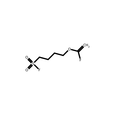 C=C(F)OCCCCS(=O)(=O)F